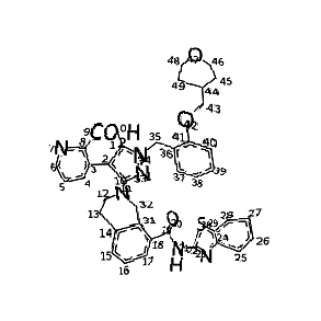 Cc1c(-c2cccnc2C(=O)O)c(N2CCc3cccc(C(=O)Nc4nc5ccccc5s4)c3C2)nn1Cc1ccccc1OCC1CCOCC1